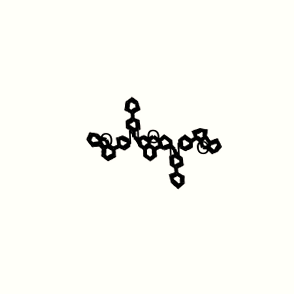 C1=CC(c2cccc3c2oc2ccccc23)CC=C1N(c1ccc(-c2ccccc2)cc1)c1cc2c3c(c1)OC1=C(C=C(N(c4ccc(-c5ccccc5)cc4)c4ccc(-c5cccc6c5oc5ccccc56)cc4)CC1)C3=CCC2